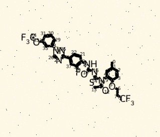 Cc1ccc(OCCC(F)(F)F)c(N2C(=O)CSC2=NC(=O)Nc2ccc(-c3ncn(-c4cccc(OC(F)(F)F)c4)n3)cc2F)c1